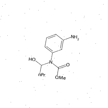 CCCC(O)N(C(=O)OC)c1cccc(N)c1